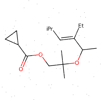 CCC(=CC(C)C)C(C)OC(C)(C)COC(=O)C1CC1